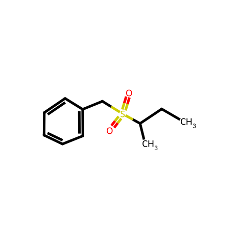 CCC(C)S(=O)(=O)Cc1ccccc1